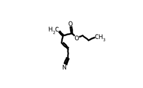 C=C(C=CC#N)C(=O)OCCC